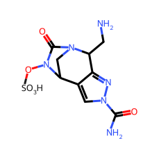 NCC1c2nn(C(N)=O)cc2C2CN1C(=O)N2OS(=O)(=O)O